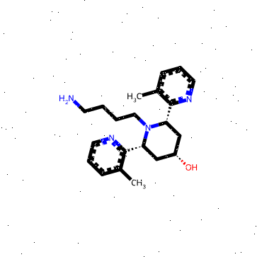 Cc1cccnc1[C@H]1C[C@@H](O)C[C@@H](c2ncccc2C)N1CCCCN